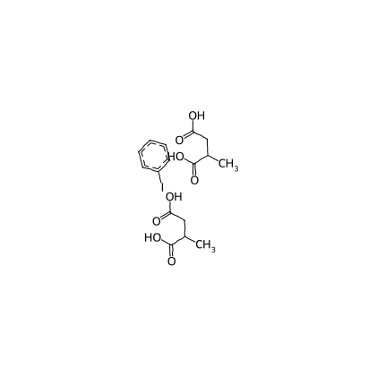 CC(CC(=O)O)C(=O)O.CC(CC(=O)O)C(=O)O.Ic1ccccc1